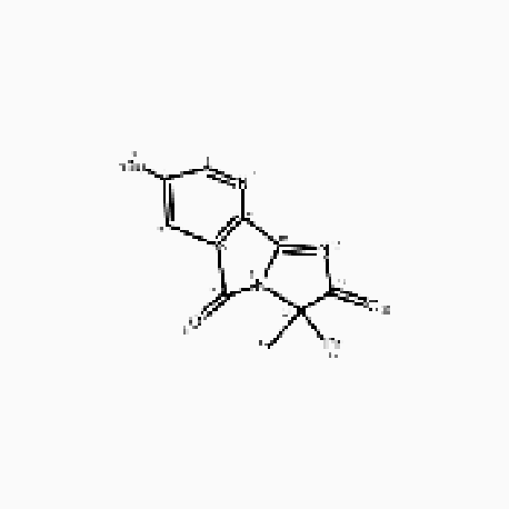 CCCCc1cnc2c(c1)C(=O)N1C2=NC(=O)C1(C)C(C)C